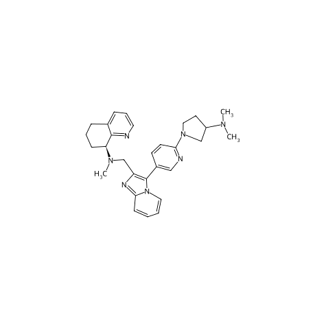 CN(C)C1CCN(c2ccc(-c3c(CN(C)[C@H]4CCCc5cccnc54)nc4ccccn34)cn2)C1